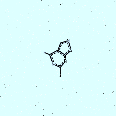 Cc1nc(I)c2cnsc2n1